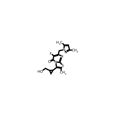 Cc1cc(C)n(Cc2nc3sc(C)c(C4CC4CO)n3c(=O)c2F)n1